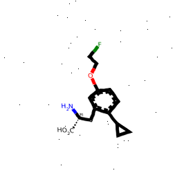 N[C@H](Cc1cc(OCCF)ccc1C1CC1)C(=O)O